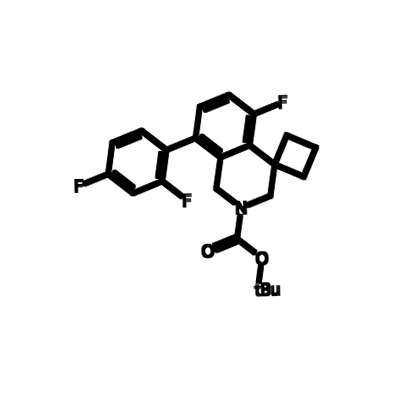 CC(C)(C)OC(=O)N1Cc2c(-c3ccc(F)cc3F)ccc(F)c2C2(CCC2)C1